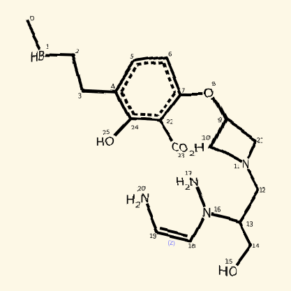 CBCCc1ccc(OC2CN(CC(CO)N(N)/C=C\N)C2)c(C(=O)O)c1O